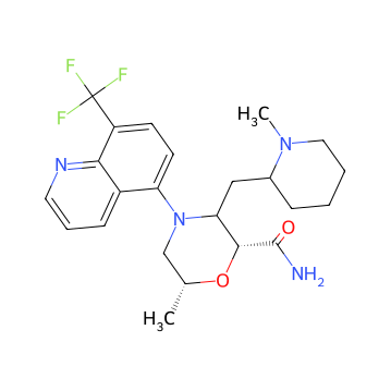 C[C@@H]1CN(c2ccc(C(F)(F)F)c3ncccc23)C(CC2CCCCN2C)[C@H](C(N)=O)O1